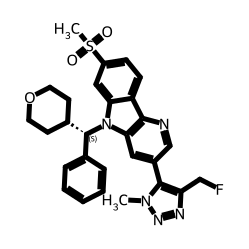 Cn1nnc(CF)c1-c1cnc2c3ccc(S(C)(=O)=O)cc3n([C@H](c3ccccc3)C3CCOCC3)c2c1